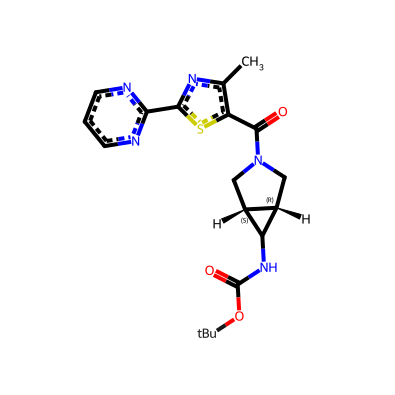 Cc1nc(-c2ncccn2)sc1C(=O)N1C[C@@H]2C(NC(=O)OC(C)(C)C)[C@@H]2C1